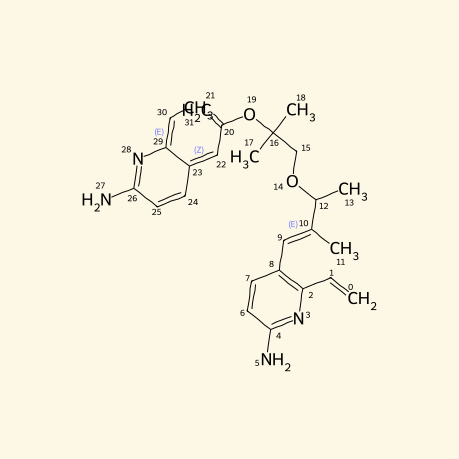 C=Cc1nc(N)ccc1/C=C(\C)C(C)OCC(C)(C)OC(=C)/C=c1/ccc(N)n/c1=C/C